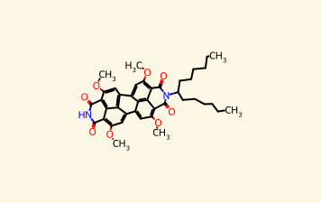 CCCCCCC(CCCCCC)N1C(=O)c2c(OC)cc3c4cc(OC)c5c6c(c(OC)cc(c7cc(OC)c(c2c37)C1=O)c64)C(=O)NC5=O